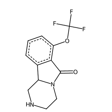 O=C1c2c(OC(F)(F)F)cccc2C2CNCCN12